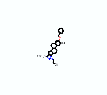 CCOC(=O)c1nn(CCC#N)c2c1CC1C2CCC2c3cc(CC)c(OCc4ccccc4)cc3CCC21